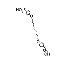 O=S(=O)(O)c1ccc(OCCCCCCCCCCCCOc2ccc(SOOO)cc2)cc1